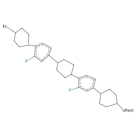 CCCCCC1CCC(c2ccc(C3CCC(c4ccc(C5CCC(CC)CC5)c(F)c4)CC3)c(F)c2)CC1